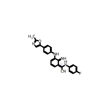 Cc1ncc(-c2ccc(NC3=CC=C/C(=C(\C#N)Nc4ccc(F)cc4)C3=N)cc2)o1